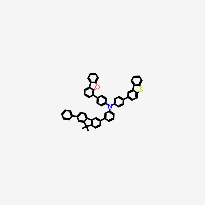 CC1(C)c2ccc(-c3cccc(N(c4ccc(-c5ccc6sc7ccccc7c6c5)cc4)c4ccc(-c5cccc6c5oc5ccccc56)cc4)c3)cc2-c2ccc(-c3ccccc3)cc21